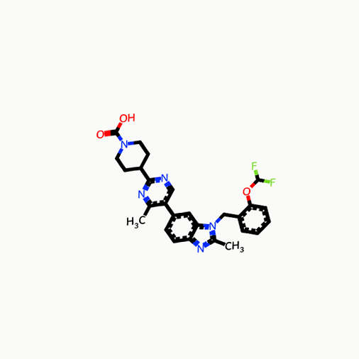 Cc1nc(C2CCN(C(=O)O)CC2)ncc1-c1ccc2nc(C)n(Cc3ccccc3OC(F)F)c2c1